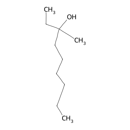 CCCCCCC(C)(O)CC